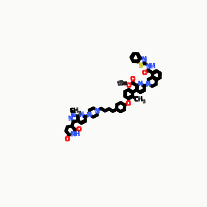 Cc1c(OC2CCC(CCCCN3CCN(c4ccc5c(C6CCC(=O)NC6=O)nn(C)c5n4)CC3)CC2)cccc1-c1ccc(N2CCc3cccc(C(=O)Nc4nc5ccccc5s4)c3C2)nc1C(=O)OC(C)(C)C